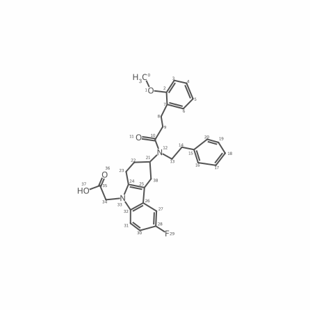 COc1ccccc1CCC(=O)N(CCc1ccccc1)C1CCc2c(c3cc(F)ccc3n2CC(=O)O)C1